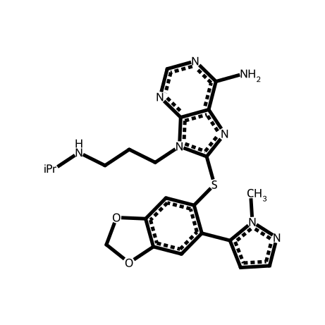 CC(C)NCCCn1c(Sc2cc3c(cc2-c2ccnn2C)OCO3)nc2c(N)ncnc21